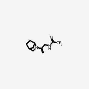 C=C(CNC(=O)C(F)(F)F)N1CC2CCC1C2